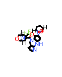 O=C(C1C[C@H]2COC[C@H](C1)N2CC(F)(F)F)N1Cc2cccnc2Nc2ccc(N3C[C@@H]4CC[C@H]3CO4)cc21